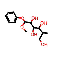 COC(Oc1ccccc1)C(O)C(O)C(O)C(C)CO